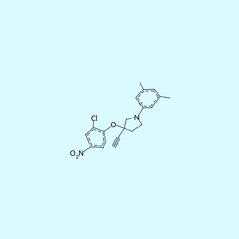 C#CC1(Oc2ccc([N+](=O)[O-])cc2Cl)CCN(c2cc(C)cc(C)c2)C1